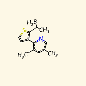 BC(C)c1sccc1-c1ncc(C)cc1C